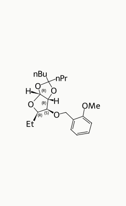 CCCCC1(CCC)O[C@H]2O[C@H](CC)[C@H](OCc3ccccc3OC)[C@H]2O1